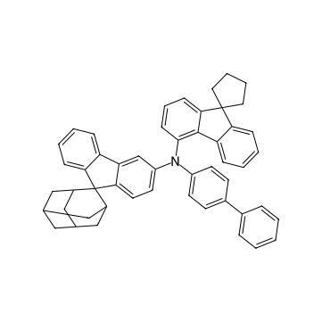 c1ccc(-c2ccc(N(c3ccc4c(c3)-c3ccccc3C43C4CC5CC(C4)CC3C5)c3cccc4c3-c3ccccc3C43CCCC3)cc2)cc1